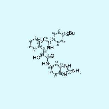 C=C(N[C@@H](c1ccccc1)[C@@H](O)C(=O)Nc1ccc2nc(N)[nH]c2c1)c1ccc(C(C)(C)C)cc1